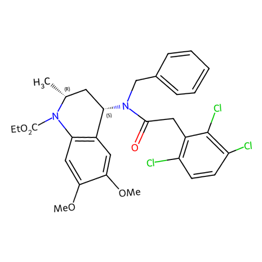 CCOC(=O)N1c2cc(OC)c(OC)cc2[C@@H](N(Cc2ccccc2)C(=O)Cc2c(Cl)ccc(Cl)c2Cl)C[C@H]1C